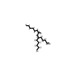 CCCCCCC(C)[CH]C(CCCCC)CCCCC